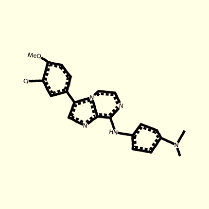 COc1ccc(-c2cnc3c(Nc4ccc(N(C)C)cc4)nccn23)cc1Cl